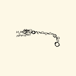 CCCCCNc1nc(N)nc2ccn(Cc3ccc(COCCOCCOCCOCCN4CCN(C(=O)COC5C#CCCCCC5)CC4)cc3OC)c12